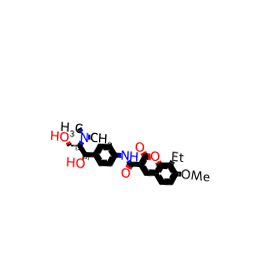 CCc1c(OC)ccc2cc(C(=O)Nc3ccc([C@H](O)[C@H](CO)N(C)C)cc3)c(=O)oc12